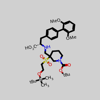 COc1cccc(OC)c1-c1ccc(C[C@H](NCC2(S(=O)(=O)CCO[Si](C)(C)C(C)(C)C)CCCN(C(=O)OC(C)(C)C)C2)C(=O)O)cc1